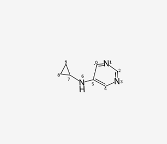 [c]1ncncc1NC1CC1